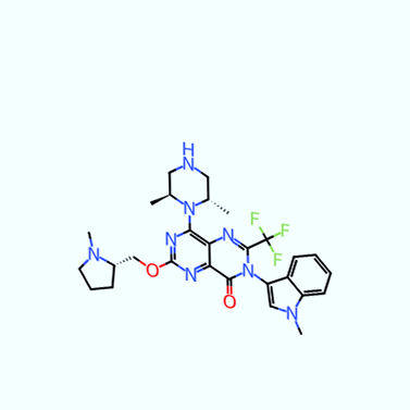 C[C@H]1CNC[C@H](C)N1c1nc(OC[C@@H]2CCCN2C)nc2c(=O)n(-c3cn(C)c4ccccc34)c(C(F)(F)F)nc12